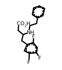 O=C(O)CC(Cc1cc(F)c(F)cc1F)NCCc1ccccc1